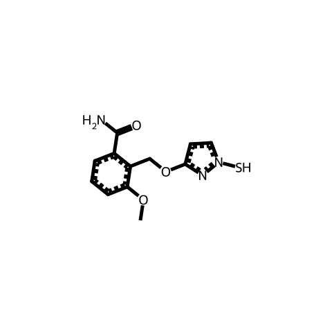 COc1cccc(C(N)=O)c1COc1ccn(S)n1